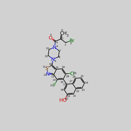 C=C(CBr)C(=O)N1CCN(c2snc3c(F)c(-c4cc(O)cc5ccccc45)c(Cl)cc23)CC1